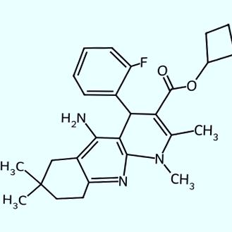 CC1=C(C(=O)OC2CCC2)C(c2ccccc2F)c2c(nc3c(c2N)CC(C)(C)CC3)N1C